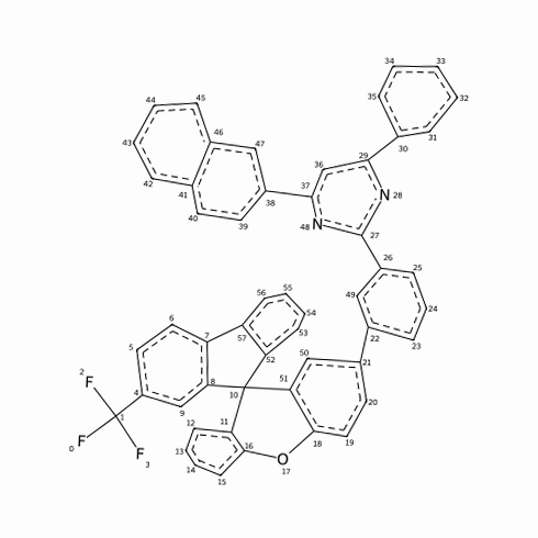 FC(F)(F)c1ccc2c(c1)C1(c3ccccc3Oc3ccc(-c4cccc(-c5nc(-c6ccccc6)cc(-c6ccc7ccccc7c6)n5)c4)cc31)c1ccccc1-2